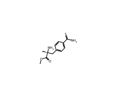 COC(=O)[C@](C)(N)Cc1ccc(C(N)=S)cc1